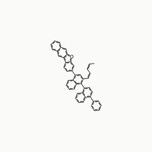 C/C=C\C=C/c1cc(-c2ccc3c(c2)oc2cc4ccccc4cc23)c2ccccc2c1-c1ccc(-c2ccccc2)c2ccccc12